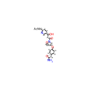 CC(=O)Nc1ccc([C@H](O)CC(=O)N(CCOc2ccc(CC(N)=O)cc2)OC(C)(C)C)cn1